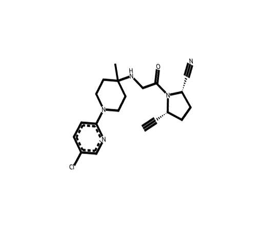 C#C[C@H]1CC[C@@H](C#N)N1C(=O)CNC1(C)CCN(c2ccc(Cl)cn2)CC1